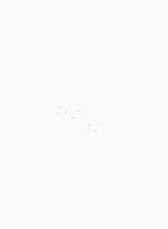 CC(C)Oc1cc2[nH]c(=O)c([C@H](C)Nc3nccc(N(C)C(=O)O)n3)cc2cc1Cl